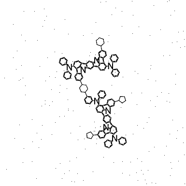 c1ccc(N(c2ccccc2)c2ccc3c4cc5c(cc4n4c6cc(C7CCCCC7)ccc6c2c34)c2ccc(N(c3ccccc3)c3ccccc3)c3c4ccc(C6CCC(c7cccc(N(c8ccccc8)c8ccc9c%10cc%11c(cc%10n%10c%12cc(C%13CCCC%13)ccc%12c8c9%10)c8ccc(N(c9ccccc9)c9ccccc9)c9c%10ccc(C%12CCCC%12)cc%10n%11c89)c7)CC6)cc4n5c23)cc1